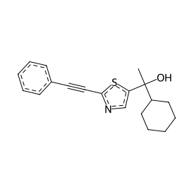 CC(O)(c1cnc(C#Cc2ccccc2)s1)C1CCCCC1